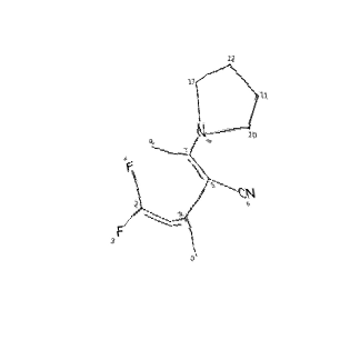 CC(=C(F)F)/C(C#N)=C(\C)N1CCCC1